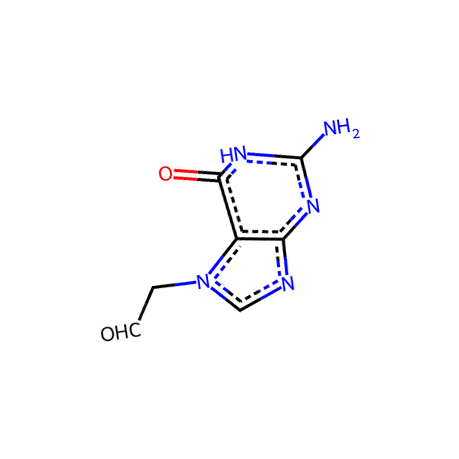 Nc1nc2ncn(CC=O)c2c(=O)[nH]1